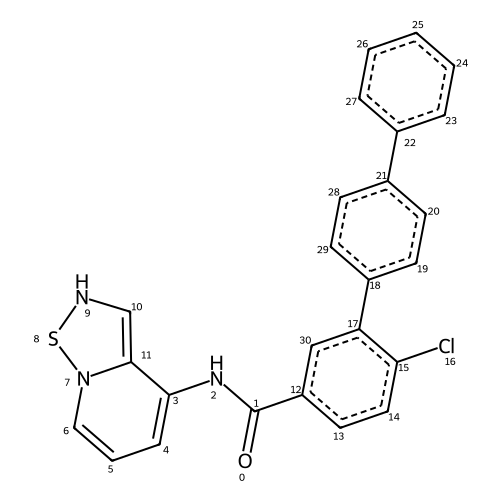 O=C(NC1=CC=CN2SNC=C12)c1ccc(Cl)c(-c2ccc(-c3ccccc3)cc2)c1